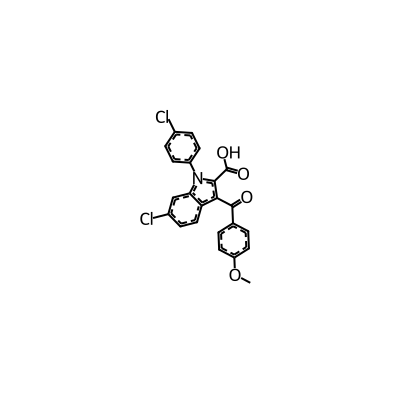 COc1ccc(C(=O)c2c(C(=O)O)n(-c3ccc(Cl)cc3)c3cc(Cl)ccc23)cc1